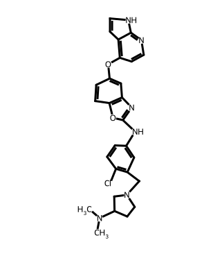 CN(C)C1CCN(Cc2cc(Nc3nc4cc(Oc5ccnc6[nH]ccc56)ccc4o3)ccc2Cl)C1